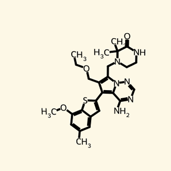 CCOCc1c(-c2cc3cc(C)cc(OC)c3s2)c2c(N)ncnn2c1CN1CCNC(=O)C1(C)C